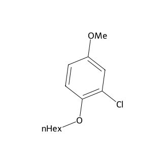 [CH2]CCCCCOc1ccc(OC)cc1Cl